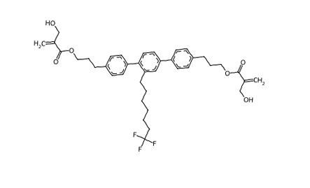 C=C(CO)C(=O)OCCCc1ccc(-c2ccc(-c3ccc(CCCOC(=O)C(=C)CO)cc3)c(CCCCCCC(F)(F)F)c2)cc1